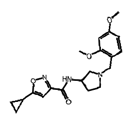 COc1ccc(CN2CCC(NC(=O)c3cc(C4CC4)on3)C2)c(OC)c1